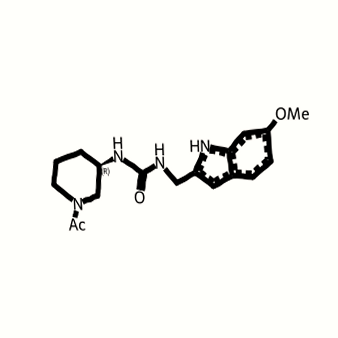 COc1ccc2cc(CNC(=O)N[C@@H]3CCCN(C(C)=O)C3)[nH]c2c1